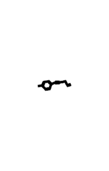 C=CCC#Cc1ccc(C)cc1